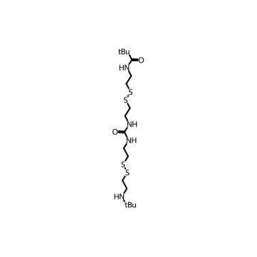 CC(C)(C)NCCSSCCNC(=O)NCCSSCCNC(=O)C(C)(C)C